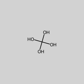 OC(O)(O)O